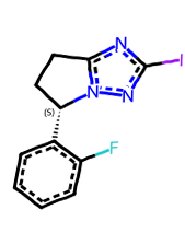 Fc1ccccc1[C@@H]1CCc2nc(I)nn21